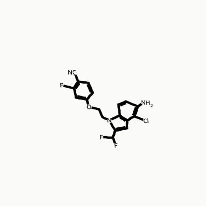 N#Cc1ccc(OCCn2c(C(F)F)cc3c(Cl)c(N)ccc32)cc1F